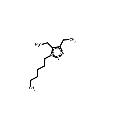 CCCCCCn1nnc(CC)c1CC